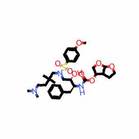 COc1ccc(S(=O)(=O)N(C[C@H](O)[C@H](Cc2ccccc2)NC(=O)OC2COC3OCCC23)CC(C)(C)CCN(C)C)cc1